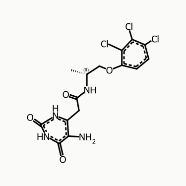 C[C@H](COc1ccc(Cl)c(Cl)c1Cl)NC(=O)Cc1[nH]c(=O)[nH]c(=O)c1N